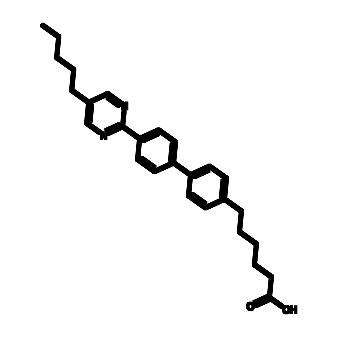 CCCCCc1cnc(-c2ccc(-c3ccc(CCCCCC(=O)O)cc3)cc2)nc1